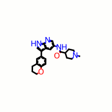 CN1CCC(C(=O)Nc2cnc3[nH]cc(-c4ccc5c(c4)CCCO5)c3c2)CC1